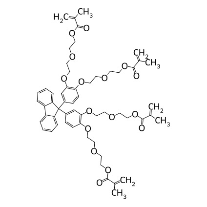 C=C(C)C(=O)OCCOCCOc1ccc(C2(c3ccc(OCCOCCOC(=O)C(=C)C)c(OCCOCCOC(=O)C(=C)C)c3)c3ccccc3-c3ccccc32)cc1OCCOCCOC(=O)C(=C)C